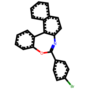 Brc1ccc(C2=Nc3ccc4ccccc4c3-c3ccccc3O2)cc1